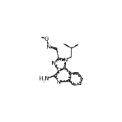 CO/N=C/c1nc2c(N)nc3ccccc3c2n1CC(C)C